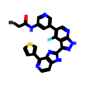 CC(C)(C)CC(=O)Nc1cncc(-c2cnc3[nH]nc(-c4nc5c(-c6ccsc6)nccc5[nH]4)c3c2F)c1